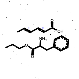 C/C=C/C=C/C(=O)O.CCCOC(=O)C(N)Cc1ccccc1